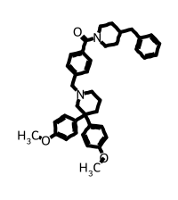 COc1ccc(C2(c3ccc(OC)cc3)CCCN(Cc3ccc(C(=O)N4CCC(Cc5ccccc5)CC4)cc3)C2)cc1